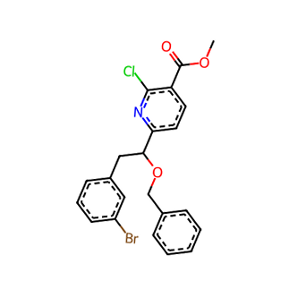 COC(=O)c1ccc(C(Cc2cccc(Br)c2)OCc2ccccc2)nc1Cl